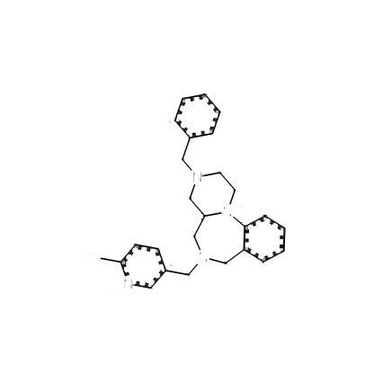 Clc1ccc(CN2Cc3ccccc3N3CCN(Cc4ccccc4)CC3C2)cn1